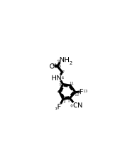 N#Cc1c(F)cc(NCC(N)=O)cc1F